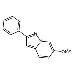 COc1ccc2cc(-c3ccccc3)nn2c1